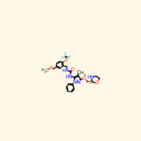 COCc1ccc(OC(F)(F)F)c(CNC(=O)Nc2c(C)c(OC[C@@H]3COCCN3)nn2-c2ccccc2)c1